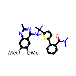 COc1cc2nc(C)nc(NC(C)(I)c3ccc(-c4ccccc4C(=O)N(C)C)s3)c2cc1OC